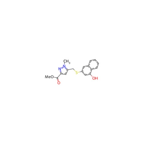 COC(=O)c1cc(CSc2cc(O)c3ccccc3c2)n(C)n1